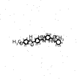 COc1ccc(NC(=O)c2ccc(-c3nc4cc(C(=O)NC5CCCCC5C)ccc4[nH]3)cc2)cc1